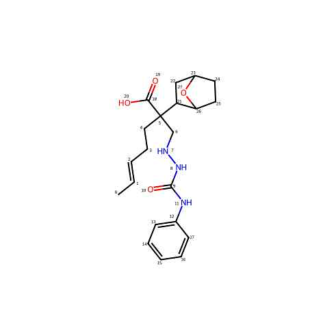 CC=CCCC(CNNC(=O)Nc1ccccc1)(C(=O)O)C1CC2CCC1O2